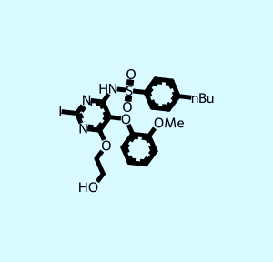 CCCCc1ccc(S(=O)(=O)Nc2nc(I)nc(OCCO)c2Oc2ccccc2OC)cc1